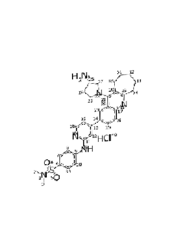 CN(C)S(=O)(=O)c1ccc(Nc2cc(-c3ccc4nc5c(c(N6CC[C@H](N)C6)c4c3)CCCCC5)ccn2)cc1.Cl